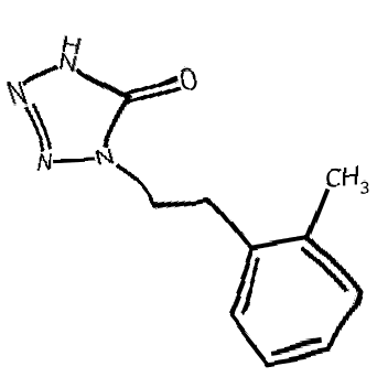 Cc1ccccc1CCn1nn[nH]c1=O